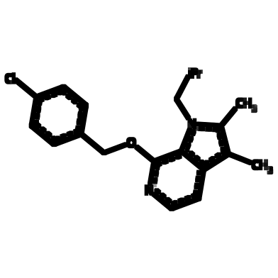 Cc1c(C)n(CC(C)C)c2c(OCc3ccc(Cl)cc3)nccc12